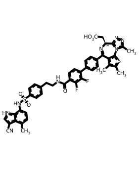 Cc1sc2c(c1C)C(c1ccc(-c3ccc(C(=O)NCCc4ccc(S(=O)(=O)Nc5ccc(C)c6c(C#N)c[nH]c56)cc4)c(F)c3F)cc1)=N[C@@H](CC(=O)O)c1nnc(C)n1-2